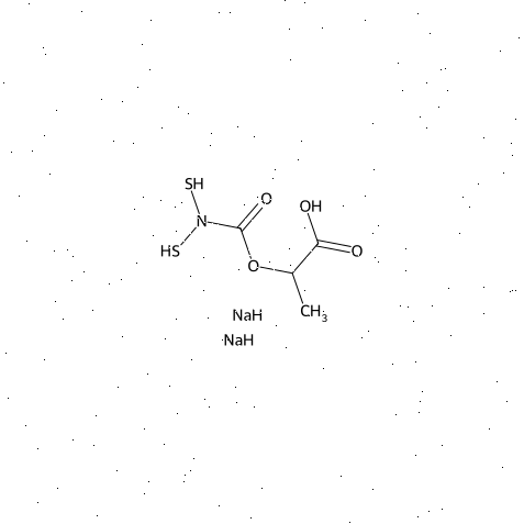 CC(OC(=O)N(S)S)C(=O)O.[NaH].[NaH]